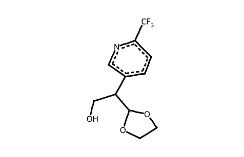 OCC(c1ccc(C(F)(F)F)nc1)C1OCCO1